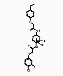 CCc1ccc(OCC(=O)NC23CCC(NC(=O)COc4ccc(Cl)c(F)c4)(CC2)[C@@H](O)C3)cc1